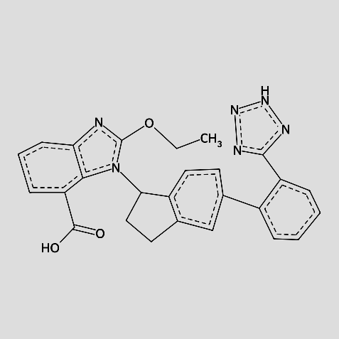 CCOc1nc2cccc(C(=O)O)c2n1C1CCc2cc(-c3ccccc3-c3nn[nH]n3)ccc21